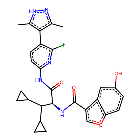 Cc1n[nH]c(C)c1-c1ccc(NC(=O)[C@@H](NC(=O)c2coc3ccc(O)cc23)C(C2CC2)C2CC2)nc1F